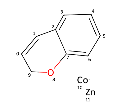 C1=Cc2ccccc2OC1.[Co].[Zn]